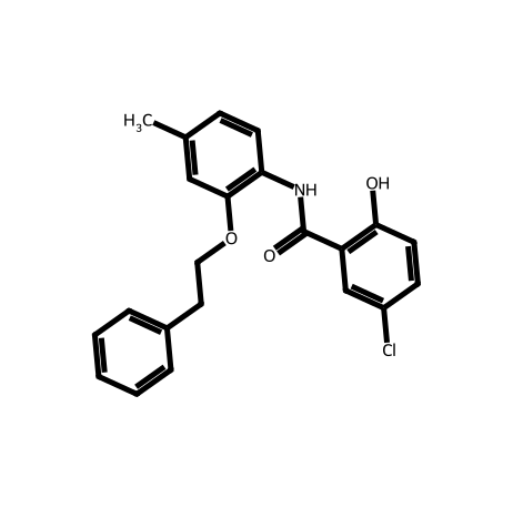 Cc1ccc(NC(=O)c2cc(Cl)ccc2O)c(OCCc2ccccc2)c1